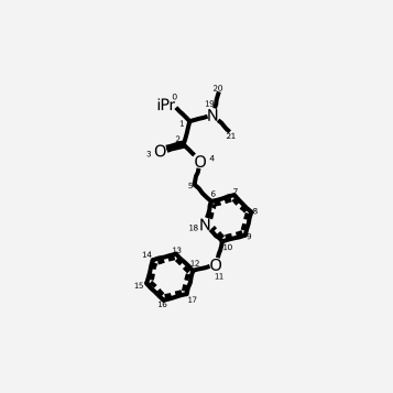 CC(C)C(C(=O)OCc1cccc(Oc2ccccc2)n1)N(C)C